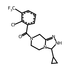 O=C(c1cccc(C(F)(F)F)c1Cl)N1CCN2C(=NNC2C2CC2)C1